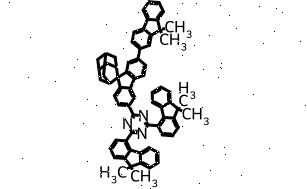 CC1(C)c2ccccc2-c2ccc(-c3ccc4c(c3)C3(c5ccc(-c6nc(-c7cccc8c7-c7ccccc7C8(C)C)nc(-c7cccc8c7-c7ccccc7C8(C)C)n6)cc5-4)C4CC5CC(C4)CC3C5)cc21